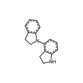 [c]1ccc2c(c1)CCN2c1cccc2c1CCN2